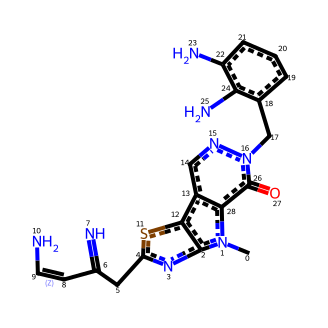 Cn1c2nc(CC(=N)/C=C\N)sc2c2cnn(Cc3cccc(N)c3N)c(=O)c21